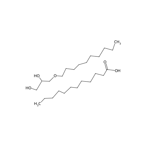 CCCCCCCCCCCC(=O)O.CCCCCCCCCCOCC(O)CO